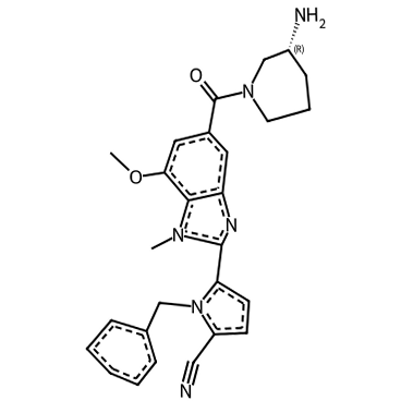 COc1cc(C(=O)N2CCC[C@@H](N)C2)cc2nc(-c3ccc(C#N)n3Cc3ccccc3)n(C)c12